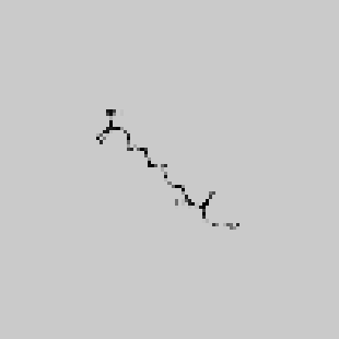 COCC(=O)NCCOCCOCC(=O)C(C)(C)C